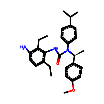 CCc1ccc(N)c(CC)c1NC(=O)N(c1ccc(C(C)C)cc1)[C@H](C)c1ccc(OC)cc1